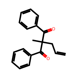 C=CCC(C)(C(=O)c1ccccc1)C(=O)c1ccccc1